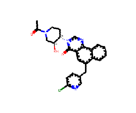 CC(=O)N1CC[C@H](n2cnc3c(cc(Cc4ccc(Cl)nc4)c4ccccc43)c2=O)[C@@H](O)C1